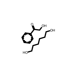 O=C(CO)c1ccccc1.OCCCCCCO